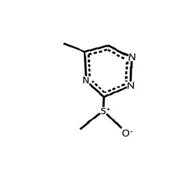 Cc1cnnc([S+](C)[O-])n1